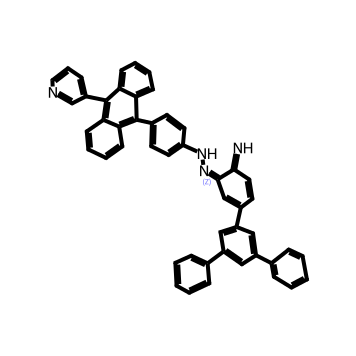 N=C1C=CC(c2cc(-c3ccccc3)cc(-c3ccccc3)c2)=C/C1=N/Nc1ccc(-c2c3ccccc3c(-c3cccnc3)c3ccccc23)cc1